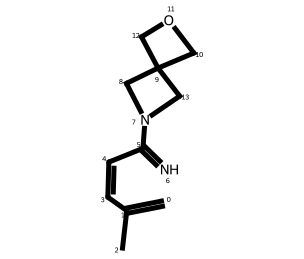 C=C(C)/C=C\C(=N)N1CC2(COC2)C1